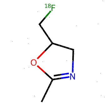 CC1=NCC(C[18F])O1